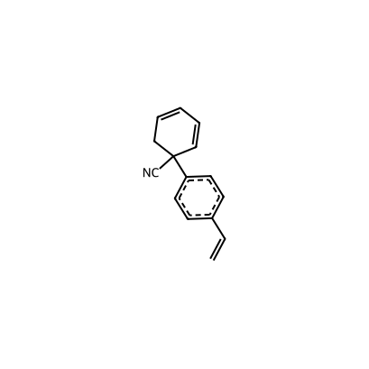 C=Cc1ccc(C2(C#N)C=CC=CC2)cc1